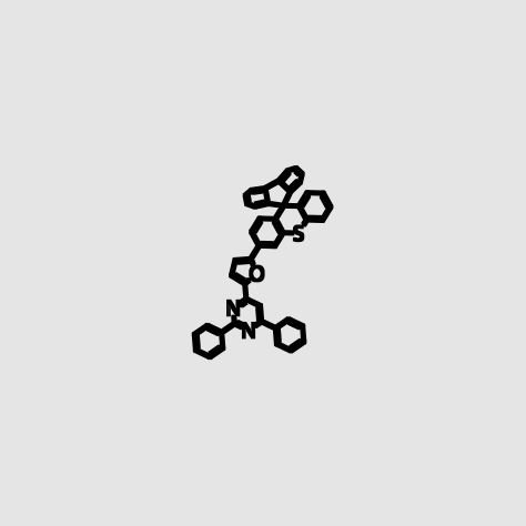 c1ccc(-c2cc(-c3ccc(-c4ccc5c(c4)Sc4ccccc4C54c5ccccc5-c5ccccc54)o3)nc(-c3ccccc3)n2)cc1